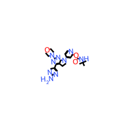 CC(C)(C)NC(=O)Oc1cc(N2CCc3c(-c4cnc(N)nc4)nc(N4CCOCC4)nc32)ccn1